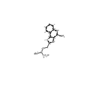 CC(C)(C)N(OCc1nc2c(N)nc3ccccc3c2s1)C(=O)O